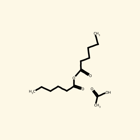 CC(=O)O.CCCCCC(=O)OC(=O)CCCCC